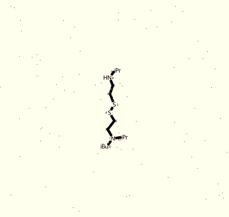 CCC(C)N(CCSSCCNC(C)C)C(C)C